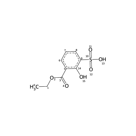 CCOC(=O)c1cccc(S(=O)(=O)O)c1O